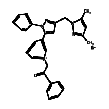 Cc1cc(C)n(Cc2cc(-c3ccc[n+](CC(=O)c4ccccc4)c3)n(-c3ccccc3)n2)n1.[Br-]